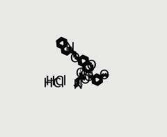 COc1cccc(O[C@H]2COc3ccc(OCc4ccc5ccccc5n4)cc3[C@H]2OC(=O)CN(C)C)c1.Cl.Cl